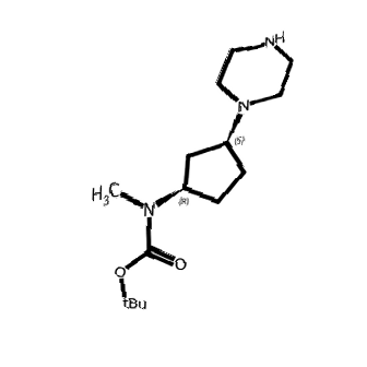 CN(C(=O)OC(C)(C)C)[C@@H]1CC[C@H](N2CCNCC2)C1